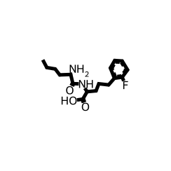 CCCC[C@H](N)C(=O)NC(CCCc1ccccc1F)C(=O)O